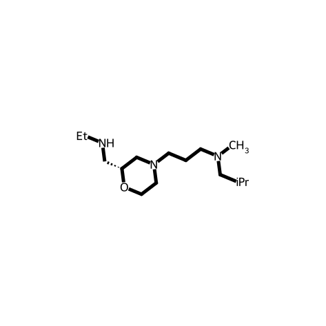 CCNC[C@@H]1CN(CCCN(C)CC(C)C)CCO1